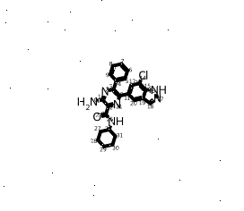 Nc1nc(-c2ccccc2)c(-c2cc(Cl)c3[nH]ncc3c2)nc1C(=O)NC1CCCCC1